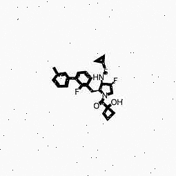 Cc1cccc(-c2cccc(C[C@H]3[C@@H](NSC4CC4)[C@@H](F)CN3C(=O)C3(O)CCC3)c2F)c1